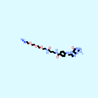 [N-]=[N+]=NCCOCCOCCOCCNC(=O)CCCNC(=O)c1ccc(NCc2cnc3nc(N)[nH]c(=O)c3n2)cc1